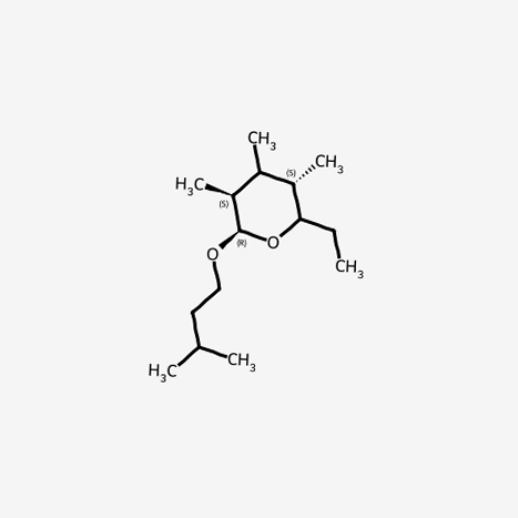 CCC1O[C@@H](OCCC(C)C)[C@@H](C)C(C)[C@@H]1C